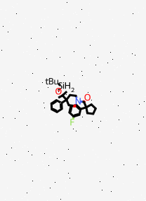 CC(C)(C)[SiH2]OC(C)(C)C1(c2ccccc2)CCN(C(=O)C2(c3cccc(F)c3)CCCC2)CC1